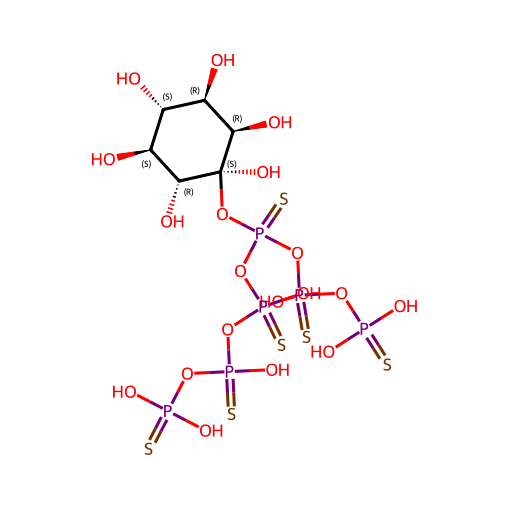 O[C@@H]1[C@@H](O)[C@@H](O)[C@@](O)(OP(=S)(OP(O)(=S)OP(O)(O)=S)OP(O)(=S)OP(O)(=S)OP(O)(O)=S)[C@H](O)[C@H]1O